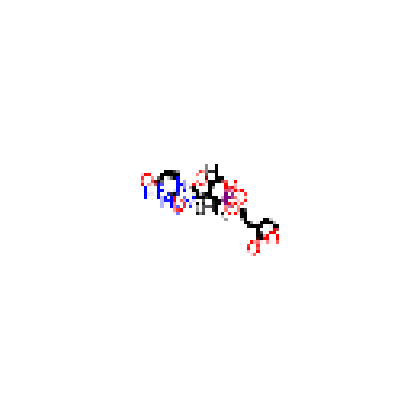 C[C@@]1(N)[C@@H]2CP(=O)(OCCC3CCOC3=O)OC[C@H]2O[C@H]1n1ccc(=O)[nH]c1=O